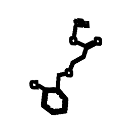 CC(C)(C)OC(=O)CCOCc1ccccc1Cl